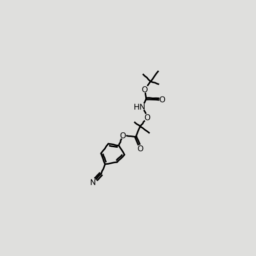 CC(C)(C)OC(=O)NOC(C)(C)C(=O)Oc1ccc(C#N)cc1